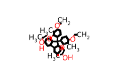 C=COc1ccc(C2(c3ccc(OC=C)c(C)c3OCC(C)O)c3ccccc3-c3ccccc32)c(OCC(C)O)c1C